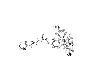 CN(CCCSCc1ccccn1)CCc1ccc([C@H]2C[C@]3(C)[C@@H](O)CC[C@H]3[C@@H]3CCc4cc(O)ccc4[C@H]32)cc1